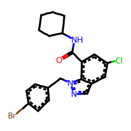 O=C(NC1CCCCC1)c1cc(Cl)cc2cnn(Cc3ccc(Br)cc3)c12